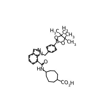 CC1(C)OB(c2ccc(Cn3ncc4cccc(C(=O)NC5CCCC(C(=O)O)CCC5)c43)cc2)OC1(C)C